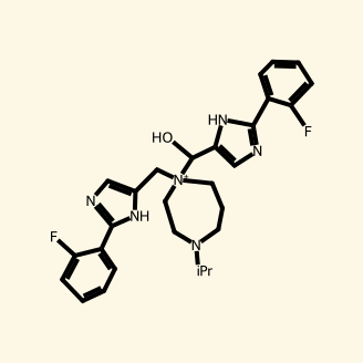 CC(C)N1CCC[N+](Cc2cnc(-c3ccccc3F)[nH]2)(C(O)c2cnc(-c3ccccc3F)[nH]2)CC1